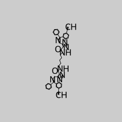 C#Cc1ccc2c(c1)C(c1ccccc1)=NCc1c(C(=O)NCCCCCNC(=O)c3ncn4c3CN=C(c3ccccc3)c3cc(C#C)ccc3-4)ncn1-2